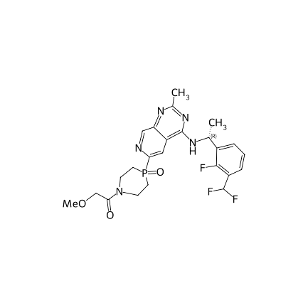 COCC(=O)N1CCP(=O)(c2cc3c(N[C@H](C)c4cccc(C(F)F)c4F)nc(C)nc3cn2)CC1